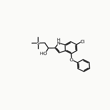 CS(C)(C)CC(O)c1cc2c(Oc3ccccc3)cc(Cl)cc2[nH]1